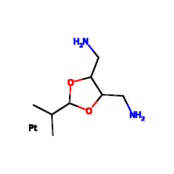 CC(C)C1OC(CN)C(CN)O1.[Pt]